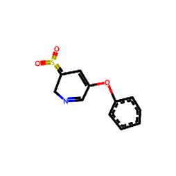 O=S(=O)=C1C=C(Oc2ccccc2)C=NC1